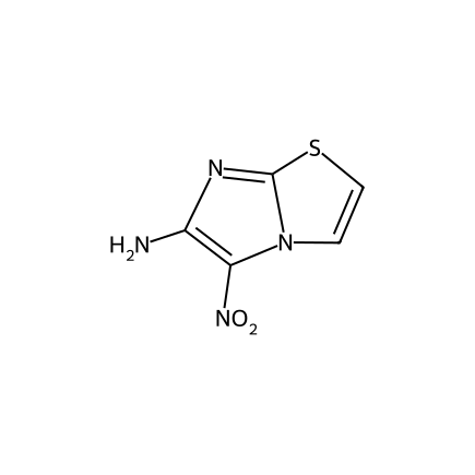 Nc1nc2sccn2c1[N+](=O)[O-]